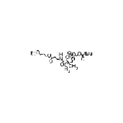 CCOCCCOC(=O)CCNC(=O)[C@@H]1O[P@@](=O)(OCOC(=O)C(C)(C)C)OCC1(C)C